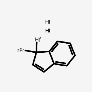 CCC[C]1([Hf])C=Cc2ccccc21.I.I